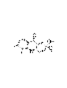 COC1(OC)C=CC2=Nc3c(ccc(C)c3C)C(=O)C2=C1